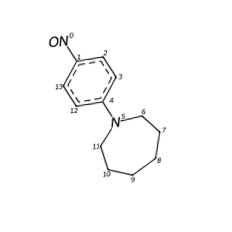 O=Nc1ccc(N2CCCCCC2)cc1